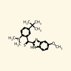 COc1ccc2[nH]c(C(=S)c3cc(C(C)(C)C)ccc3N(C)C)nc2c1